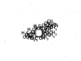 CO[C@H]1[C@@H](OC)[C@H](OC[C@H](C)[C@H]2OC(=O)[C@H](C)[C@@H](O[C@H]3C[C@@]4(C)OC(=O)O[C@H]4[C@H](C)O3)[C@H](C)C[C@@H](C)C[C@](C)(O)C(=O)[C@H](C)[C@H](OC(=O)CC(C)C)[C@H]2C)O[C@H](C)[C@H]1OC(=O)n1ccnc1